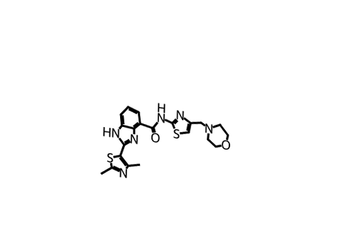 Cc1nc(C)c(-c2nc3c(C(=O)Nc4nc(CN5CCOCC5)cs4)cccc3[nH]2)s1